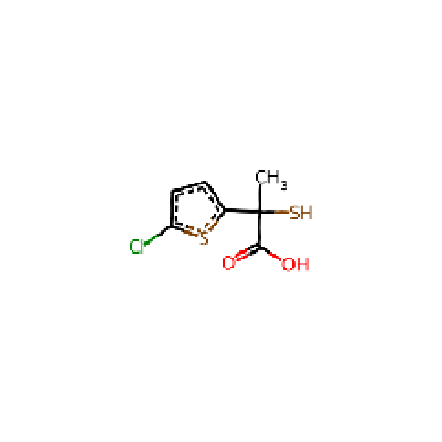 CC(S)(C(=O)O)c1ccc(Cl)s1